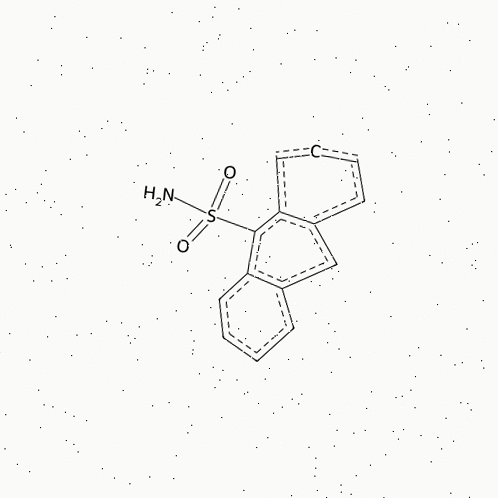 NS(=O)(=O)c1c2ccccc2cc2ccccc12